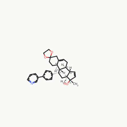 C[C@]1(O)C=C[C@H]2[C@@H]3CC=C4CC5(CC[C@@H]4[C@H]3[C@@H](c3ccc(-c4cccnc4)cc3)C[C@@]21C)OCCO5